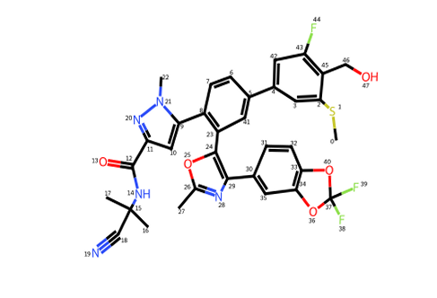 CSc1cc(-c2ccc(-c3cc(C(=O)NC(C)(C)C#N)nn3C)c(-c3oc(C)nc3-c3ccc4c(c3)OC(F)(F)O4)c2)cc(F)c1CO